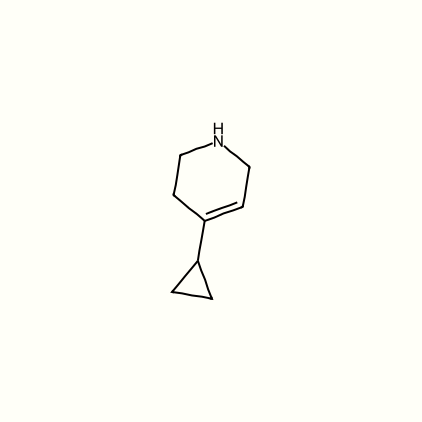 C1=C(C2CC2)CCNC1